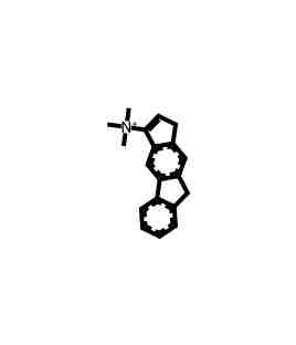 C[N+](C)(C)C1=CCc2cc3c(cc21)-c1ccccc1C3